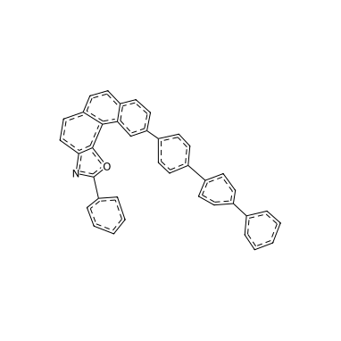 c1ccc(-c2ccc(-c3ccc(-c4ccc5ccc6ccc7nc(-c8ccccc8)oc7c6c5c4)cc3)cc2)cc1